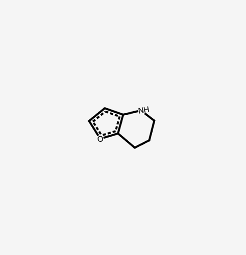 c1cc2c(o1)CCCN2